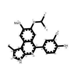 COc1cc2c(cc1OC(F)F)c(-c1ccc(O)c(Cl)c1)nc1[nH]nc(C)c12